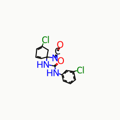 O=C=NC1(NC(=O)Nc2cccc(Cl)c2)C=CC=C(Cl)C1